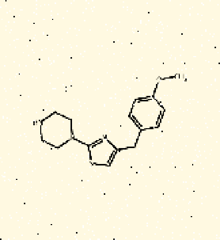 COc1ccc(Cc2csc(N3CCNCC3)n2)cc1